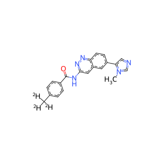 [2H]C([2H])([2H])c1ccc(C(=O)Nc2cc3cc(-c4cncn4C)ccc3nn2)cc1